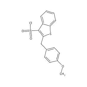 COc1ccc(Cc2sc3ccccc3c2S(=O)(=O)Cl)cc1